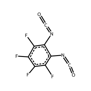 O=C=Nc1c(F)c(F)c(F)c(F)c1N=C=O